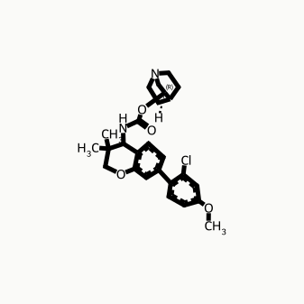 COc1ccc(-c2ccc3c(c2)OCC(C)(C)C3NC(=O)O[C@H]2CN3CCC2CC3)c(Cl)c1